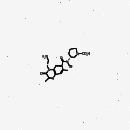 Cc1cc2c(cc1C(=O)N(C(C)C)[C@@H]1CCCN(C(=O)O)C1)N(CCN)C(=O)C(C)S2